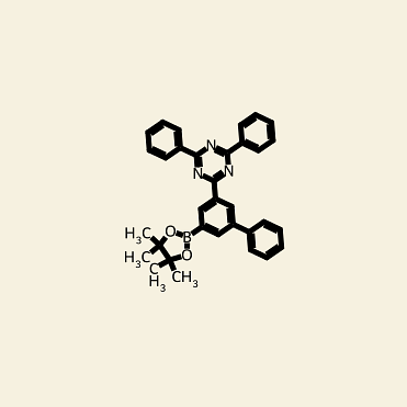 CC1(C)OB(c2cc(-c3ccccc3)cc(-c3nc(-c4ccccc4)nc(-c4ccccc4)n3)c2)OC1(C)C